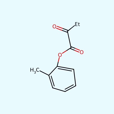 CCC(=O)C(=O)Oc1ccccc1C